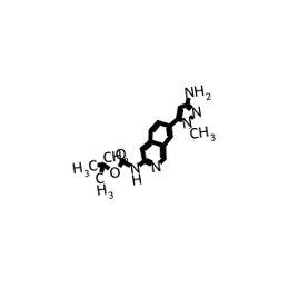 Cn1nc(N)cc1-c1ccc2cc(NC(=O)OC(C)(C)C)ncc2c1